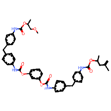 C=C(C)CC(C)OC(=O)Nc1ccc(Cc2ccc(NC(=O)Oc3cccc(OC(=O)Nc4ccc(Cc5ccc(NC(=O)OC(C)COC)cc5)cc4)c3)cc2)cc1